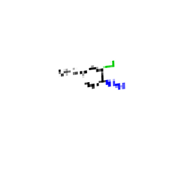 [N-]=[N+]=C1C=CC(C=O)C=C1Cl